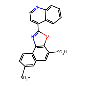 O=S(=O)(O)c1ccc2c(c1)cc(S(=O)(=O)O)c1oc(-c3ccnc4ccccc34)nc12